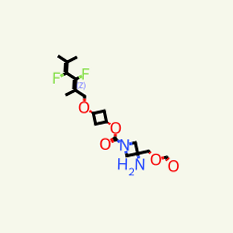 CC(C)=C(F)/C(F)=C(\C)CO[C@H]1C[C@@H](OC(=O)N2CC(N)(COC=O)C2)C1